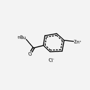 CCCCC(=O)c1cc[c]([Zn+])cc1.[Cl-]